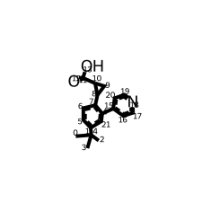 CC(C)(C)c1ccc(C2CC2C(=O)O)c(-c2ccncc2)c1